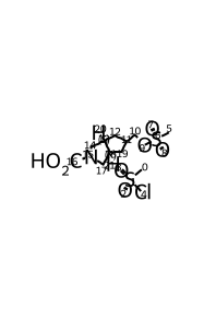 CS(=O)(=O)Cl.CS(=O)(=O)OCC1C[C@@H]2CN(C(=O)O)C[C@@H]2C1